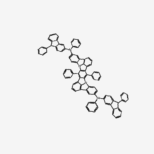 c1ccc(-c2c3c4cccc5c6cc(N(c7ccccc7)c7ccc8c(c7)-c7ccccc7C8c7ccccc7)ccc6n(c3c(-c3ccccc3)c3c6cccc7c8cc(N(c9ccccc9)c9ccc%10c(c9)-c9ccccc9C%10c9ccccc9)ccc8n(c23)c76)c54)cc1